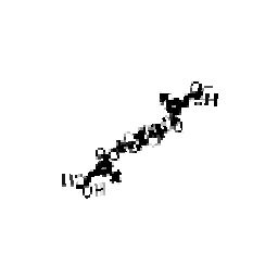 CC(O)(O)/C=C/c1cc(C(=O)OCC(C)(C)C2OCC3(CO2)COC(C(C)(C)COC(=O)c2cc(/C=C/C(C)(O)O)cc(C(C)(C)C)c2)OC3)cc(C(C)(C)C)c1